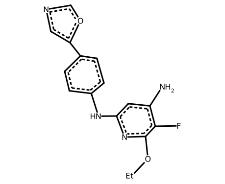 CCOc1nc(Nc2ccc(-c3cnco3)cc2)cc(N)c1F